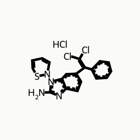 Cl.Nc1nc2ccc(C(=C(Cl)Cl)c3ccccc3)cc2n1N1C=CC=CS1